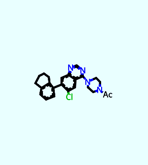 CC(=O)N1CCN(c2ncnc3cc(-c4cccc5c4CCCC5)c(Cl)cc23)CC1